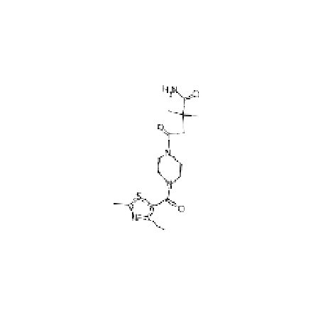 Cc1nc(C)c(C(=O)N2CCN(C(=O)CC(C)(C)C(N)=O)CC2)s1